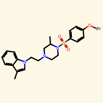 Cc1cn(CCN2CCN(S(=O)(=O)c3ccc(OC(C)C)cc3)C(C)C2)c2ccccc12